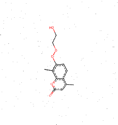 Cc1cc(=O)oc2c(C)c(OOCCO)ccc12